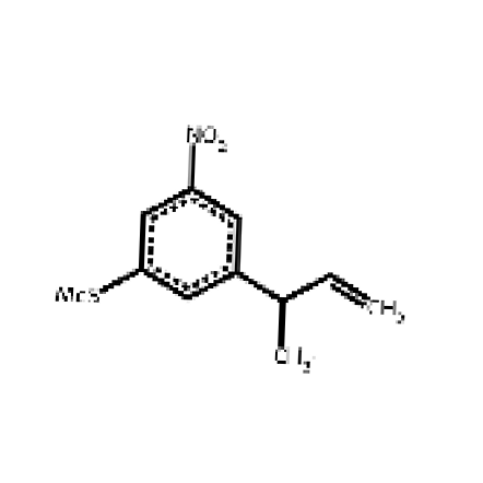 [CH2]C(C=C)c1cc(SC)cc([N+](=O)[O-])c1